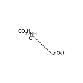 CCCCCCCC/C=C\CCCCCCCCCCCC(=O)N[C@@H](C)C(=O)O